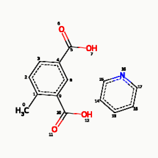 Cc1ccc(C(=O)O)cc1C(=O)O.c1ccncc1